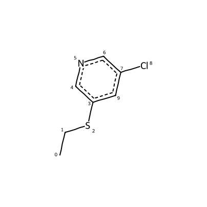 CCSc1cncc(Cl)c1